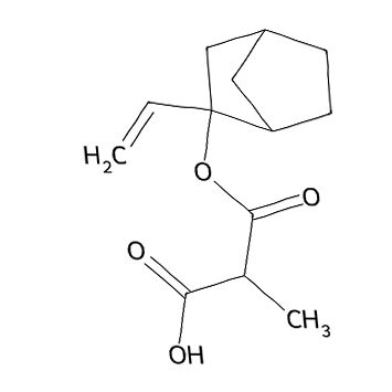 C=CC1(OC(=O)C(C)C(=O)O)CC2CCC1C2